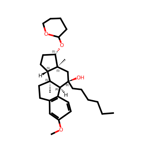 CCCCCC[C@@]1(O)C[C@@]2(C)[C@@H](CC[C@@H]2OC2CCCCO2)[C@]2(C)CCc3cc(OC)ccc3[C@H]12